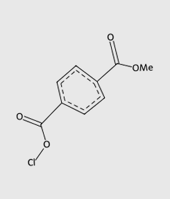 COC(=O)c1ccc(C(=O)OCl)cc1